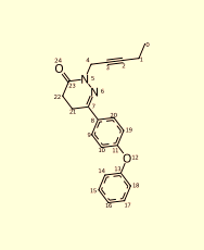 CCC#CCN1N=C(c2ccc(Oc3ccccc3)cc2)CCC1=O